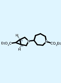 CCOC(=O)C1[C@H]2CN(C3CCCN(C(=O)OCC)CC3)C[C@@H]12